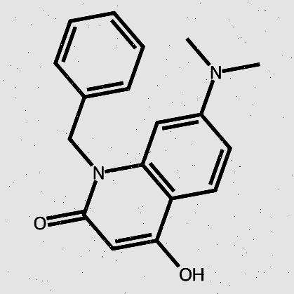 CN(C)c1ccc2c(O)cc(=O)n(Cc3ccccc3)c2c1